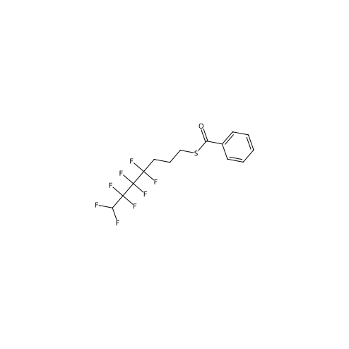 O=C(SCCCC(F)(F)C(F)(F)C(F)(F)C(F)F)c1ccccc1